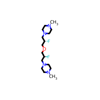 CN1CCN(C[C@H](F)COC[C@@H](F)CN2CCN(C)CC2)CC1